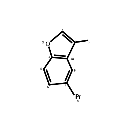 Cc1coc2ccc(C(C)C)cc12